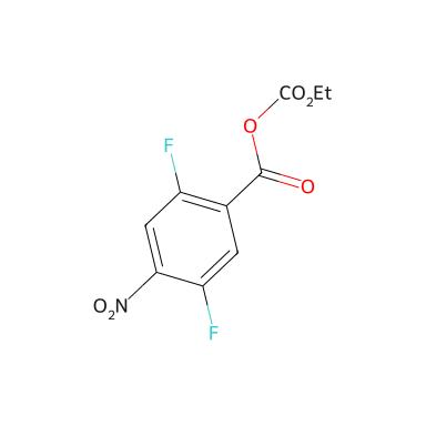 CCOC(=O)OC(=O)c1cc(F)c([N+](=O)[O-])cc1F